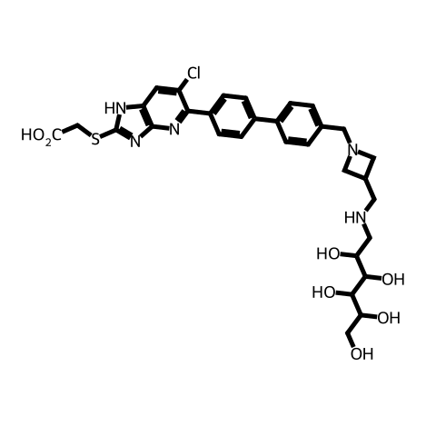 O=C(O)CSc1nc2nc(-c3ccc(-c4ccc(CN5CC(CNCC(O)C(O)C(O)C(O)CO)C5)cc4)cc3)c(Cl)cc2[nH]1